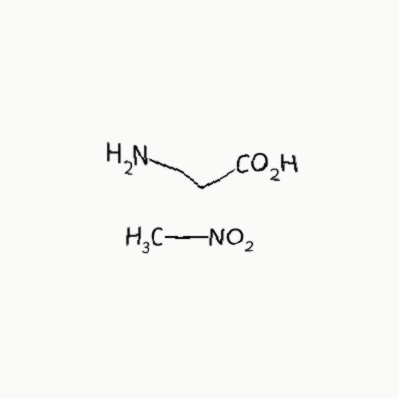 C[N+](=O)[O-].NCC(=O)O